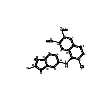 COc1cc2ncc(C#N)c(Nc3ccc4[nH]c(C)nc4c3)c2cc1OC